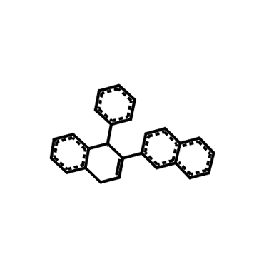 C1=C(c2ccc3ccccc3c2)[C](c2ccccc2)c2ccccc2C1